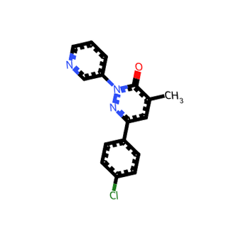 Cc1cc(-c2ccc(Cl)cc2)nn(-c2cccnc2)c1=O